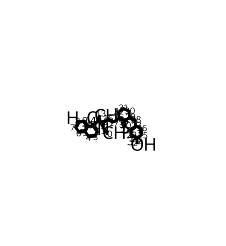 CN1c2ccc3ccccc3c2C(C)(C)C1C=CC1=C2Sc3cc(O)ccc3C=C2CCC1